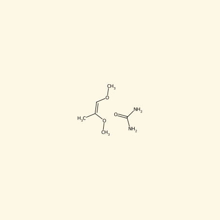 COC=C(C)OC.NC(N)=O